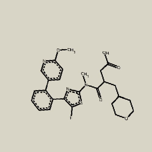 COc1ccc(-c2ccccc2-c2nc(N(C)C(=O)C(CC(=O)O)CC3CCOCC3)sc2F)cn1